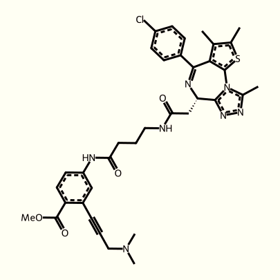 COC(=O)c1ccc(NC(=O)CCCNC(=O)C[C@@H]2N=C(c3ccc(Cl)cc3)c3c(sc(C)c3C)-n3c(C)nnc32)cc1C#CCN(C)C